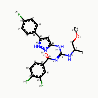 CCOCC(C)N/C(=N/C(=O)c1ccc(F)c(F)c1)Nc1cc(-c2ccc(F)cc2)[nH]n1